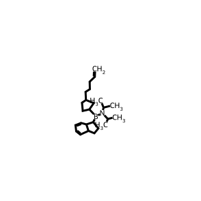 C=CCCCC1CCC(B(C2CCC3C=CC=CC32)N(C(C)C)C(C)C)C1